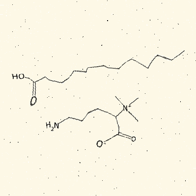 CCCCCCCCCCCC(=O)O.C[N+](C)(C)C(CCCN)C(=O)[O-]